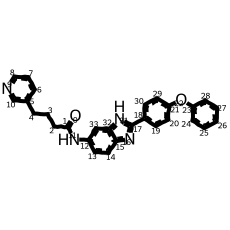 O=C(CCCc1cccnc1)Nc1ccc2nc(-c3ccc(Oc4ccccc4)cc3)[nH]c2c1